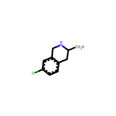 O=C(O)C1Cc2ccc(Cl)cc2CN1